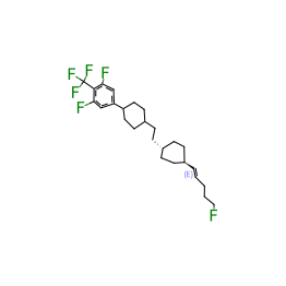 FCCC/C=C/[C@H]1CC[C@H](CCC2CCC(c3cc(F)c(C(F)(F)F)c(F)c3)CC2)CC1